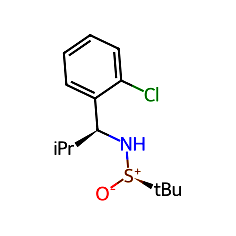 CC(C)[C@H](N[S@+]([O-])C(C)(C)C)c1ccccc1Cl